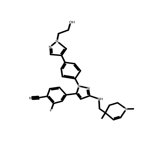 CN1C=CC(C)(CNc2cc(-c3ccc(C#N)c(F)c3)n(-c3ccc(-c4cnn(CCO)c4)cc3)n2)CC1